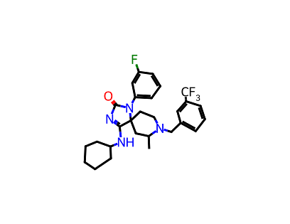 CC1CC2(CCN1Cc1cccc(C(F)(F)F)c1)C(NC1CCCCC1)=NC(=O)N2c1cccc(F)c1